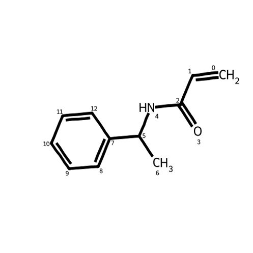 C=CC(=O)NC(C)c1ccccc1